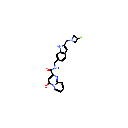 O=C(NCc1ccc2cc(CN3CC(F)C3)[nH]c2c1)c1cc(=O)n2ccccc2n1